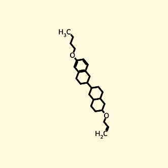 C=CCOC1CCC2CC(C3CCc4cc(OCCCC)ccc4C3)CCC2C1